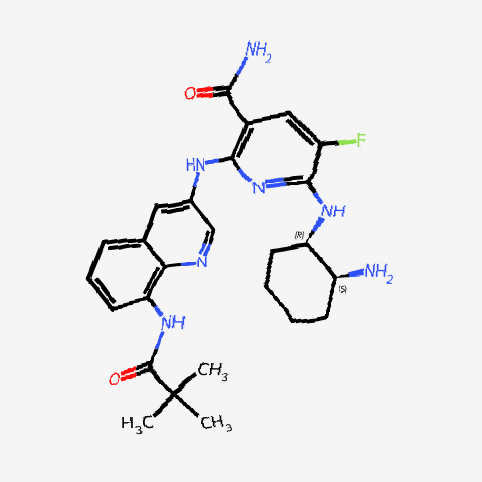 CC(C)(C)C(=O)Nc1cccc2cc(Nc3nc(N[C@@H]4CCCC[C@@H]4N)c(F)cc3C(N)=O)cnc12